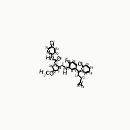 CO[C@@H]1C[C@H](CNc2cc(C(CCC3CC3)n3ccccc3=O)ccc2F)N(C(=O)Nc2ccc(Cl)cn2)C1